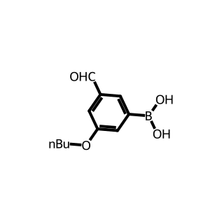 CCCCOc1cc(C=O)cc(B(O)O)c1